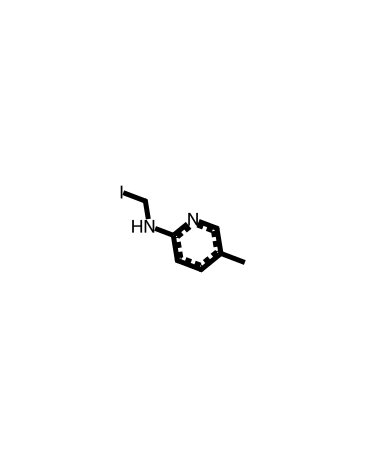 Cc1ccc(NCI)nc1